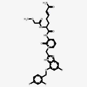 COCC(=O)NC(CC/C=C/C(N)=O)C(=O)Nc1cccn(Cc2nc3cc(F)cc(OCc4ccc(F)cc4F)c3[nH]2)c1=O